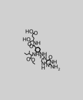 CCOC(=O)C(N)C(C)CC.CN1c2c(nc(N)[nH]c2=O)NC[C@@H]1CNc1ccc(C(=O)NC(CCC(=O)O)C(=O)O)cc1